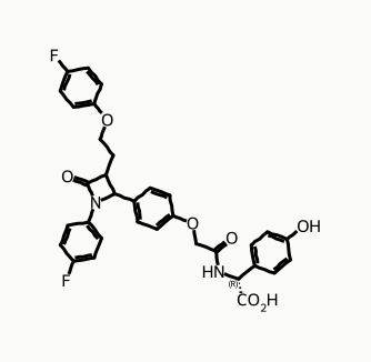 O=C(COc1ccc(C2C(CCOc3ccc(F)cc3)C(=O)N2c2ccc(F)cc2)cc1)N[C@@H](C(=O)O)c1ccc(O)cc1